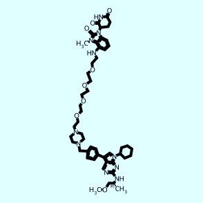 COC[C@@H](C)Nc1ncc2c(-c3ccc(CN4CCN(CCOCCOCCOCCOCCNc5cccc6c5n(C)c(=O)n6C5CCC(=O)NC5=O)CC4)cc3)cn(C3CCCCC3)c2n1